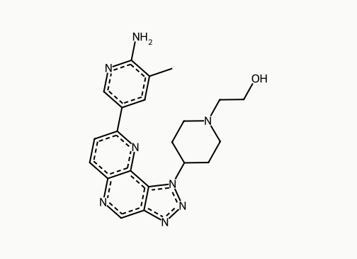 Cc1cc(-c2ccc3ncc4nnn(C5CCN(CCO)CC5)c4c3n2)cnc1N